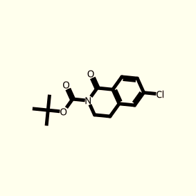 CC(C)(C)OC(=O)N1CCc2cc(Cl)ccc2C1=O